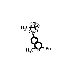 CC1=NC(C(C)(C)C)Cc2cc(B3OC(C)(C)C(C)(C)O3)ccc21